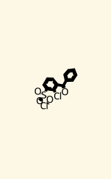 O=C(c1ccccc1)c1cccc(S(=O)(=O)OCl)c1Cl